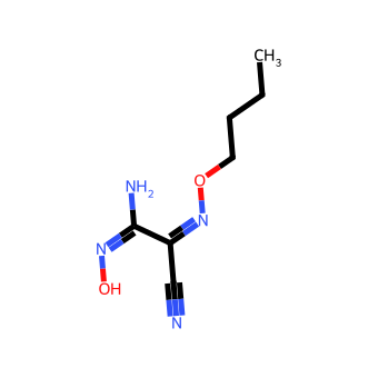 CCCCO/N=C(C#N)\C(N)=N/O